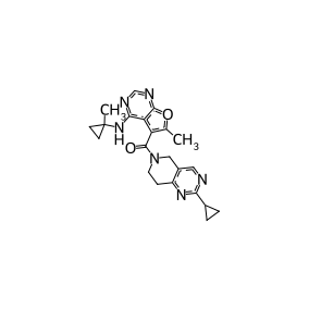 Cc1oc2ncnc(NC3(C)CC3)c2c1C(=O)N1CCc2nc(C3CC3)ncc2C1